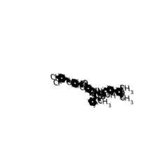 CC[C@@H](c1ccccc1)N1Cc2cc3c(cc2C[C@H]1C(=O)N[C@@H](Cc1ccc(-c2cc(C)nc(C)c2)cc1)C(=O)O)OC[C@H](c1ccc(OCc2ccc(Cl)c(Cl)c2)cc1)O3